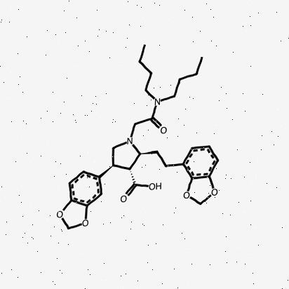 CCCCN(CCCC)C(=O)CN1C[C@H](c2ccc3c(c2)OCO3)[C@@H](C(=O)O)[C@@H]1CCc1cccc2c1OCO2